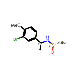 COc1ccc([C@H](C)N[S@@+]([O-])C(C)(C)C)cc1Br